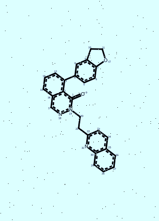 O=c1c2c(-c3ccc4c(c3)CCO4)cccc2cnn1CCc1ccc2ccccc2n1